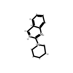 c1ccc2nc(N3CCCCC3)ncc2c1